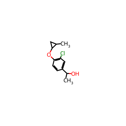 CC(O)c1ccc(OC2CC2C)c(Cl)c1